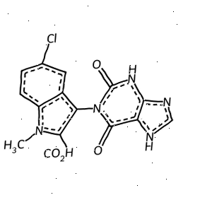 Cn1c(C(=O)O)c(-n2c(=O)[nH]c3nc[nH]c3c2=O)c2cc(Cl)ccc21